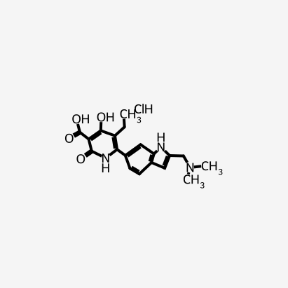 CCc1c(-c2ccc3cc(CN(C)C)[nH]c3c2)[nH]c(=O)c(C(=O)O)c1O.Cl